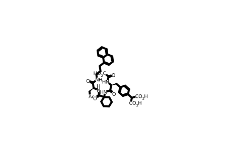 CC(=O)C[C@H](NC(=O)C1(NC(=O)[C@H](Cc2ccc(C(C(=O)O)C(=O)O)cc2)NC(=O)C(=O)O)CCCCC1)C(=O)NCCCc1cccc2ccccc12